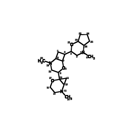 CN1CC(C2CC3C2OC(C24CC2N(C)CCO4)CN3C)OC2CCCC21